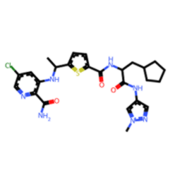 CC(Nc1cc(Cl)cnc1C(N)=O)c1ccc(C(=O)NC(CC2CCCC2)C(=O)Nc2cnn(C)c2)s1